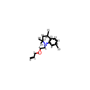 C=CCOCCN1c2cc(C)ccc2C(C)CC1(C)C